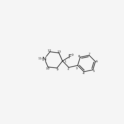 FC1(Cc2ccccc2)CC[N]CC1